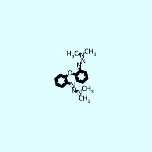 CN(C)N=Nc1ccccc1Oc1ccccc1N=NN(C)C